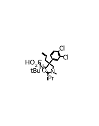 C=CCC(CN(C)C(=O)C(C)C)(CN(C(=O)O)C(C)(C)C)c1ccc(Cl)c(Cl)c1